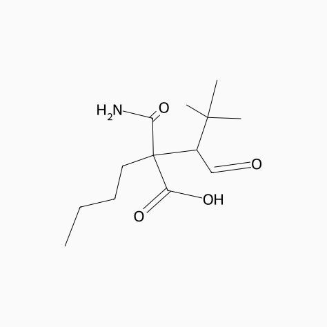 CCCCC(C(N)=O)(C(=O)O)C(C=O)C(C)(C)C